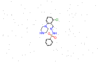 O=S(=O)(N/N=C/c1c(Cl)cccc1N1CCNCC1)c1ccccc1